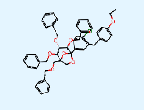 CCOc1ccc(Cc2cc(C34OCC(COCc5ccccc5)(O3)[C@@H](OCc3ccccc3)[C@H](OCc3ccccc3)[C@H]4OCc3ccccc3)ccc2Cl)cc1